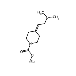 CN(C)CC=C1CCN(C(=O)OC(C)(C)C)CC1